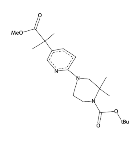 COC(=O)C(C)(C)c1ccc(N2CCN(C(=O)OC(C)(C)C)C(C)(C)C2)nc1